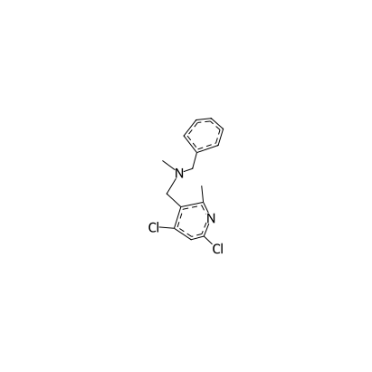 Cc1nc(Cl)cc(Cl)c1CN(C)Cc1ccccc1